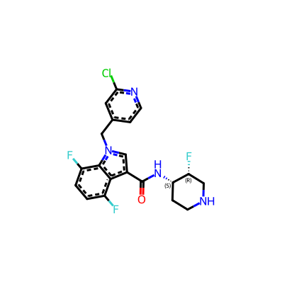 O=C(N[C@H]1CCNC[C@H]1F)c1cn(Cc2ccnc(Cl)c2)c2c(F)ccc(F)c12